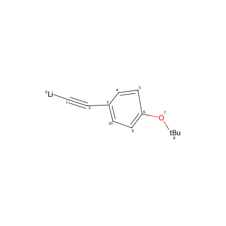 [Li][C]#Cc1ccc(OC(C)(C)C)cc1